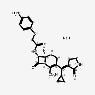 Nc1ccc(SCC(=O)N[C@@H]2C(=O)N3C(C(=O)O)=C(C(=C4CCNC4=O)C4CC4)CS[C@H]23)cc1.[NaH]